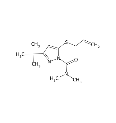 C=CCSc1cc(C(C)(C)C)nn1C(=O)N(C)C